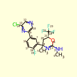 CNC1=N[C@](C)(c2cc(-c3cncc(Cl)n3)ccc2F)C[C@@H](C(F)(F)F)O1